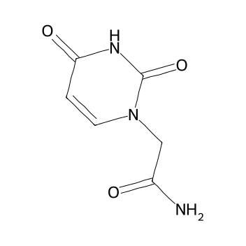 NC(=O)Cn1ccc(=O)[nH]c1=O